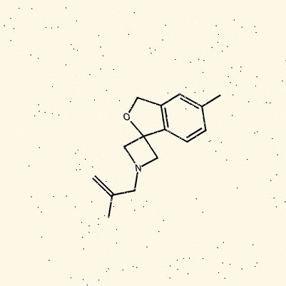 C=C(C)CN1CC2(C1)OCc1cc(C)ccc12